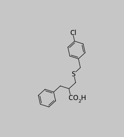 O=C(O)C(CSCc1ccc(Cl)cc1)Cc1ccccc1